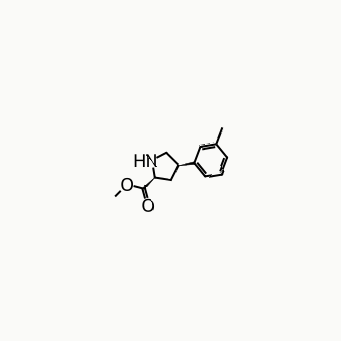 COC(=O)[C@@H]1C[C@H](c2cccc(C)c2)CN1